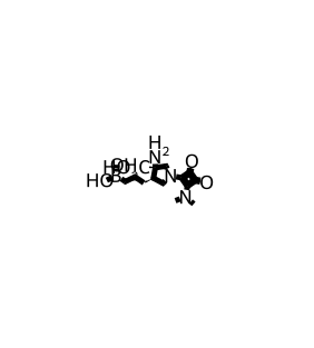 CN(C)c1c(N2C[C@H](CCCB(O)O)[C@](N)(C(=O)O)C2)c(=O)c1=O